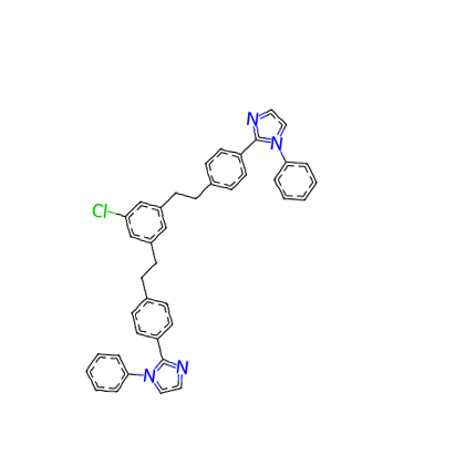 Clc1cc(CCc2ccc(-c3nccn3-c3ccccc3)cc2)cc(CCc2ccc(-c3nccn3-c3ccccc3)cc2)c1